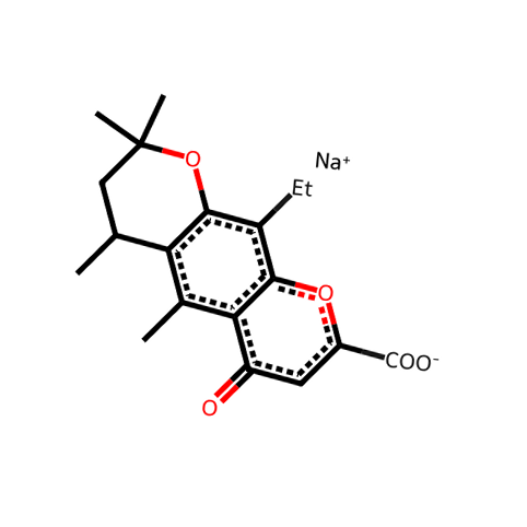 CCc1c2c(c(C)c3c(=O)cc(C(=O)[O-])oc13)C(C)CC(C)(C)O2.[Na+]